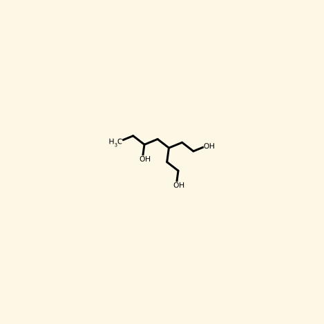 CCC(O)CC(CCO)CCO